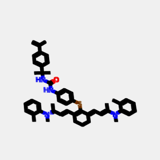 C=C(C)c1ccc(C(C)(C)NC(=O)Nc2ccc(SC3=C(/C=C/C(C)=[N+](\C)c4ccccc4C)CCC/C3=C\C=C(/C)N(C)c3ccccc3C)cc2)cc1